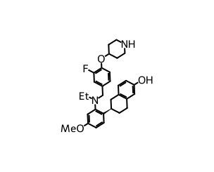 CCN(Cc1ccc(OC2CCNCC2)c(F)c1)c1cc(OC)ccc1[C@@H]1CCc2cc(O)ccc2C1